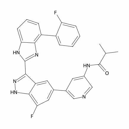 CC(C)C(=O)Nc1cncc(-c2cc(F)c3[nH]nc(-c4nc5c(-c6ccccc6F)cccc5[nH]4)c3c2)c1